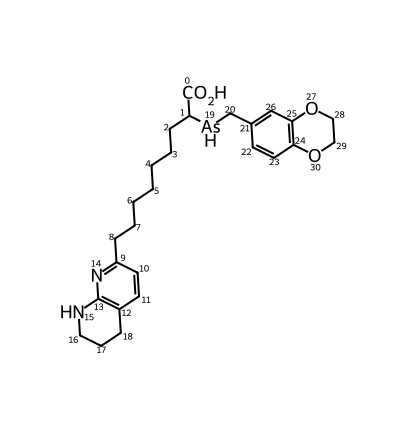 O=C(O)C(CCCCCCCc1ccc2c(n1)NCCC2)[AsH]Cc1ccc2c(c1)OCCO2